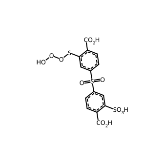 O=C(O)c1ccc(S(=O)(=O)c2ccc(C(=O)O)c(S(=O)(=O)O)c2)cc1SOOO